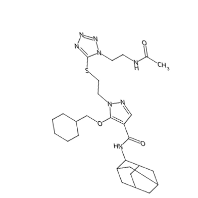 CC(=O)NCCn1nnnc1SCCn1ncc(C(=O)NC2C3CC4CC(C3)CC2C4)c1OCC1CCCCC1